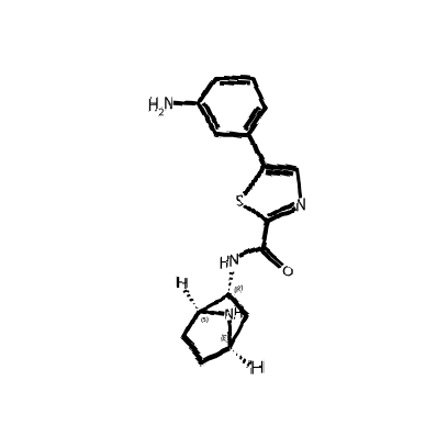 Nc1cccc(-c2cnc(C(=O)N[C@@H]3C[C@H]4CC[C@@H]3N4)s2)c1